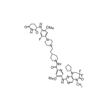 COc1cc(C(=O)NN2CCC(CCN3CCN(c4cc(OC)c(NC5CCC(=O)NC5=O)cc4F)CC3)CC2)ncc1Nc1ncc2c(n1)N(C1CCCC1)CC(F)(F)C(=O)N2C